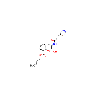 CCCCOC(=O)c1cccc2c1OB(O)[C@@H](NC(=O)CCc1cncs1)C2